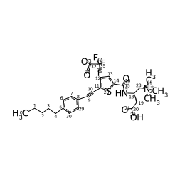 CCCCCc1ccc(C#Cc2ccc(C(=O)N[C@H](CC(=O)O)C[N+](C)(C)C)s2)cc1.O=C([O-])C(F)(F)F